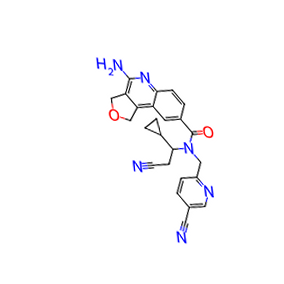 N#CCC(C1CC1)N(Cc1ccc(C#N)cn1)C(=O)c1ccc2nc(N)c3c(c2c1)COC3